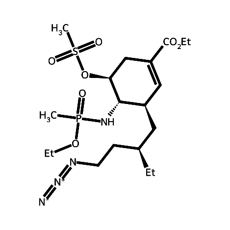 CCOC(=O)C1=C[C@@H](C[C@@H](CC)CCN=[N+]=[N-])[C@H](NP(C)(=O)OCC)[C@@H](OS(C)(=O)=O)C1